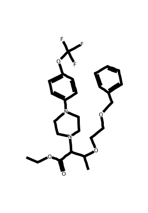 CCOC(=O)C(C(C)OCCOCc1ccccc1)N1CCN(c2ccc(OC(F)(F)F)cc2)CC1